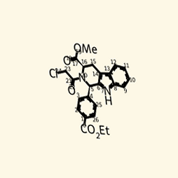 CCOC(=O)c1ccc([C@@H]2c3[nH]c4ccccc4c3C[C@H](C(=O)OC)N2C(=O)CCl)cc1